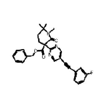 CN1C(=O)C(C(=O)OCc2ccccc2)(c2ncc(C#Cc3cccc(F)c3)cn2)CCC1(C)C